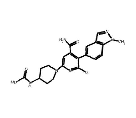 Cn1ncc2cc(-c3c(C(N)=O)cc(N4CCC(NC(=O)O)CC4)nc3Cl)ccc21